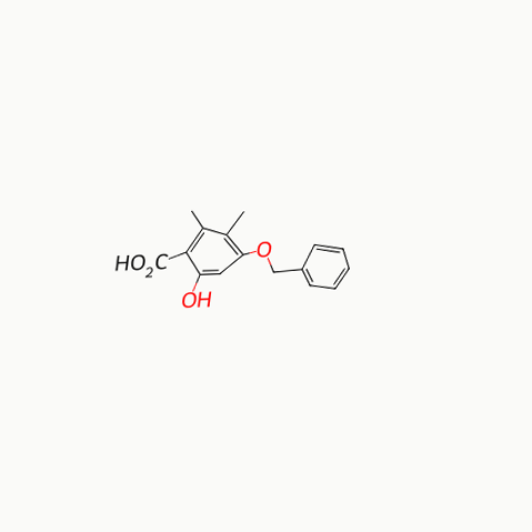 Cc1c(OCc2ccccc2)cc(O)c(C(=O)O)c1C